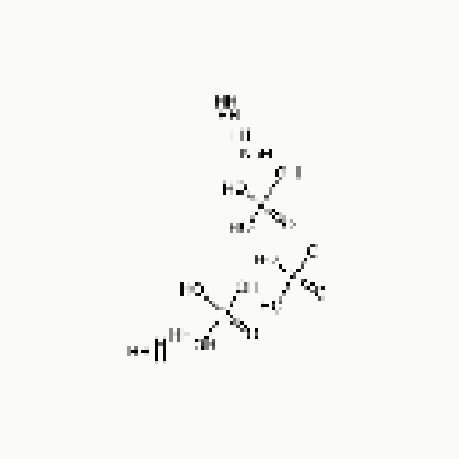 O=P(O)(O)O.O=P(O)(O)O.O=P(O)(O)O.[HH].[HH].[HH].[HH].[HH].[HH].[NaH]